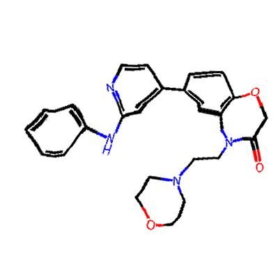 O=C1COc2ccc(-c3ccnc(Nc4ccccc4)c3)cc2N1CCN1CCOCC1